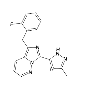 Cc1n[nH]c(-c2nc(Cc3ccccc3F)c3cccnn23)n1